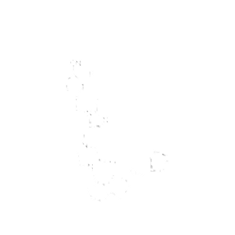 Cc1ncc(CN2CCN(c3cccc4ccc(OCc5ccccc5)cc34)C(=O)C2)n1Cc1ccc(C#N)c(F)c1